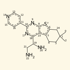 CC1(C)CCc2c(sc3nc(-c4ccncc4)nc(C(N)CN)c23)C1